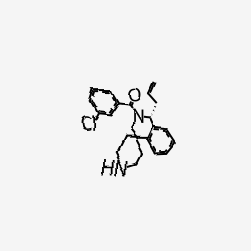 C=CC[C@@H]1c2ccccc2C2(CCNCC2)CN1C(=O)c1cccc(Cl)c1